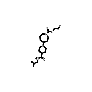 CC(C)CNC(=O)C1CCN(C2CCCN(C(=O)OCCF)CC2)CC1